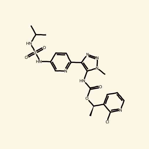 CC(C)NS(=O)(=O)Nc1ccc(-c2nnn(C)c2NC(=O)O[C@H](C)c2cccnc2Cl)nc1